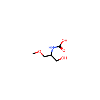 COCC(CO)NC(=O)O